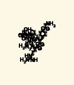 CC[C@H](C)[C@H](N)C(=O)OC(=O)CN.N=C(N)NCCC[C@H](N)C(=O)OC(=O)[C@@H](N)Cc1ccc(OC(=O)CN)cc1.N[C@@H](CO)C(=O)O